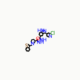 N=C(OC(=N)C1CCCN(Cc2csc3ccccc23)C1)c1ccc2[nH]nc(-c3ccnc(Cl)c3)c2c1